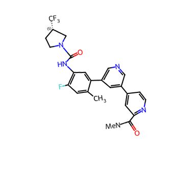 CNC(=O)c1cc(-c2cncc(-c3cc(NC(=O)N4CC[C@H](C(F)(F)F)C4)c(F)cc3C)c2)ccn1